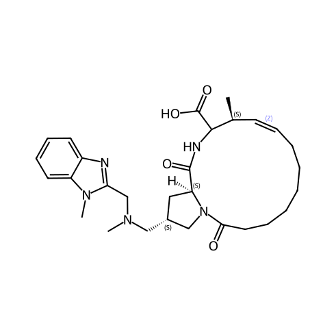 C[C@H]1/C=C\CCCCCCC(=O)N2C[C@H](CN(C)Cc3nc4ccccc4n3C)C[C@H]2C(=O)NC1C(=O)O